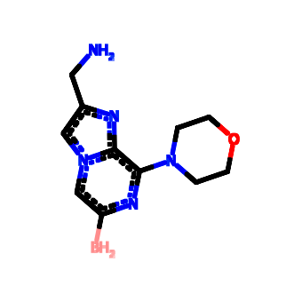 Bc1cn2cc(CN)nc2c(N2CCOCC2)n1